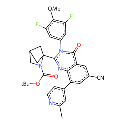 COc1c(F)cc(-n2c(C34CC(CN3C(=O)OC(C)(C)C)C4)nc3c(-c4ccnc(C)c4)cc(C#N)cc3c2=O)cc1F